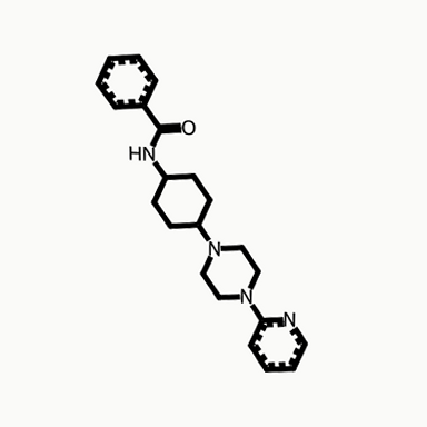 O=C(NC1CCC(N2CCN(c3ccccn3)CC2)CC1)c1ccccc1